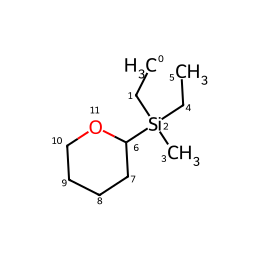 CC[Si](C)(CC)C1CCCCO1